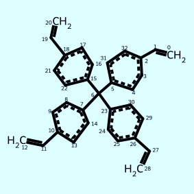 C=Cc1ccc(C(c2ccc(C=C)cc2)(c2ccc(C=C)cc2)c2ccc(C=C)cc2)cc1